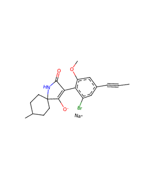 CC#Cc1cc(Br)c(C2=C([O-])C3(CCC(C)CC3)NC2=O)c(OC)c1.[Na+]